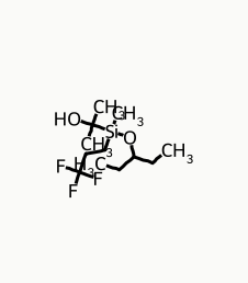 CCC(CC)O[Si](C)(CCC(F)(F)F)C(C)(C)O